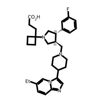 CCc1ccc2ncc(C3CCN(C[C@H]4CN(C5(CCC(=O)O)CCC5)C[C@@H]4c4cccc(F)c4)CC3)n2c1